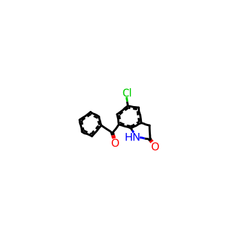 O=C1Cc2cc(Cl)cc(C(=O)c3ccccc3)c2N1